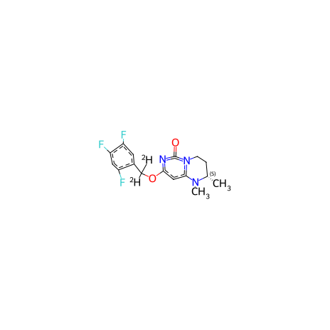 [2H]C([2H])(Oc1cc2n(c(=O)n1)CC[C@H](C)N2C)c1cc(F)c(F)cc1F